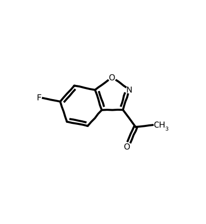 CC(=O)c1noc2cc(F)ccc12